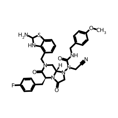 COc1ccc(CNC(=O)N(CC#N)N2CC(=O)N3[C@@H](Cc4ccc(F)cc4)C(=O)N(Cc4cccc5c4NC(N)S5)C[C@@H]32)cc1